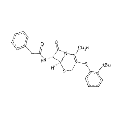 CC(C)(C)c1ccccc1SC1=C(C(=O)O)N2C(=O)[C@@H](NC(=O)Cc3ccccc3)[C@@H]2SC1